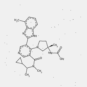 Cc1cccc2[nH]c(-c3cncc(C(=O)N(C)C(C)C4CC4)c3N3CC[C@](C)(NC(=O)O)C3)nc12